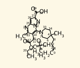 C=CCCC1(C)CCN(c2c([C@H](OC(C)(C)C)C(=O)OCC)c(C)nc3cc(C(=O)O)nn23)CC1